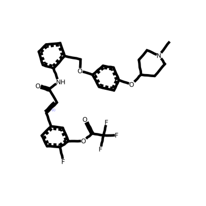 CN1CCC(Oc2ccc(OCc3ccccc3NC(=O)/C=C/c3ccc(F)c(OC(=O)C(F)(F)F)c3)cc2)CC1